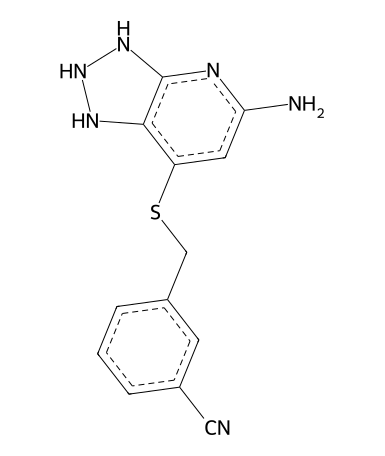 N#Cc1cccc(CSc2cc(N)nc3c2NNN3)c1